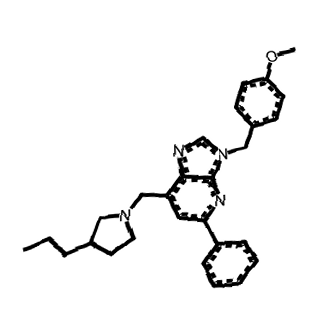 CCCC1CCN(Cc2cc(-c3ccccc3)nc3c2ncn3Cc2ccc(OC)cc2)C1